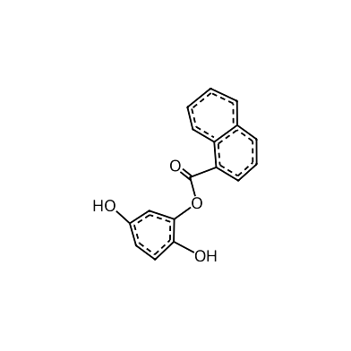 O=C(Oc1cc(O)ccc1O)c1cccc2ccccc12